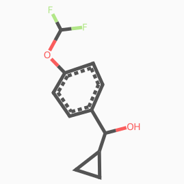 OC(c1ccc(OC(F)F)cc1)C1CC1